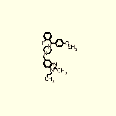 CCCn1c(C)nc2cc(CN3CCN(C(c4ccc(OC)cc4)c4ccccc4F)CC3)ccc21